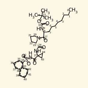 CCCCCCCC[C@H](NC(=O)OC(C)(C)C)C(=O)N1CCC[C@H]1C(=O)NC1(C(=O)NS(=O)(=O)c2cccc3ccccc23)CC1